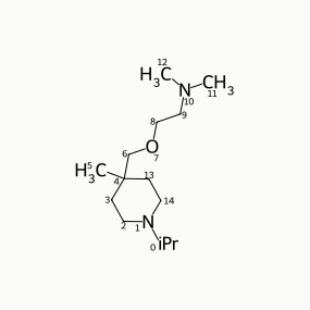 CC(C)N1CCC(C)(COCCN(C)C)CC1